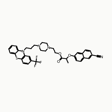 CC(Oc1ccc2cc(C#N)ccc2c1)C(=O)OCCN1CCN(CCCN2c3ccccc3Sc3ccc(C(F)(F)F)cc32)CC1